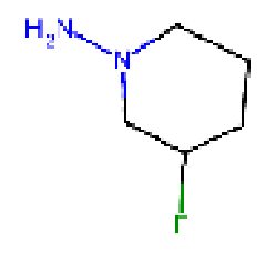 NN1CCCC(F)C1